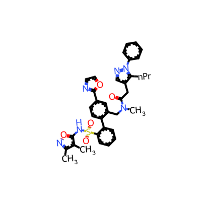 CCCc1c(CC(=O)N(C)Cc2cc(-c3ncco3)ccc2-c2ccccc2S(=O)(=O)Nc2onc(C)c2C)cnn1-c1ccccc1